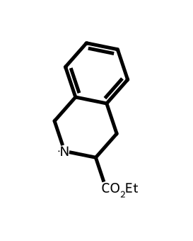 CCOC(=O)C1Cc2ccccc2C[N]1